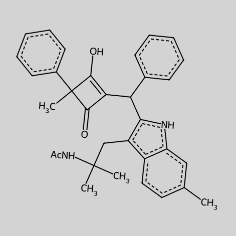 CC(=O)NC(C)(C)Cc1c(C(C2=C(O)C(C)(c3ccccc3)C2=O)c2ccccc2)[nH]c2cc(C)ccc12